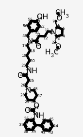 COC[C@H]1CC[C@H](COC)N1CCCC(=O)N(CCCCCNC(=O)CCN1CCC(OC(=O)Nc2ccccc2-c2ccccc2)CC1)Cc1ccc(O)cc1